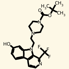 CC(C)(C)OC(=O)N1CCN(CCn2c3cc(O)ccc3c3ccnc(C(F)(F)F)c32)CC1